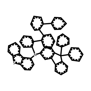 c1ccc(-c2ccccc2-c2ccccc2-c2ccccc2N(c2ccc3c(c2)-c2ccccc2C3(c2ccccc2)c2ccccc2)c2cccc3sc4ccccc4c23)cc1